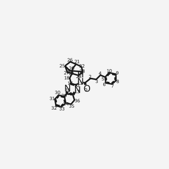 O=C(CCCc1ccccc1)Nc1nc2c(nc1CC13CC4CC(CC(C4)C1)C3)-c1ccccc1CC2